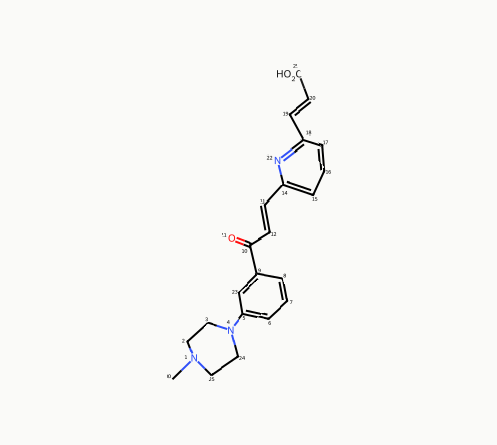 CN1CCN(c2cccc(C(=O)C=Cc3cccc(C=CC(=O)O)n3)c2)CC1